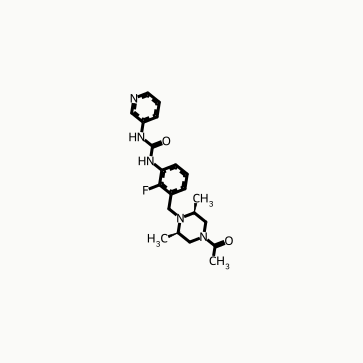 CC(=O)N1C[C@@H](C)N(Cc2cccc(NC(=O)Nc3cccnc3)c2F)[C@@H](C)C1